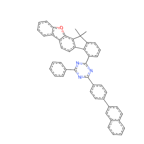 CC1(C)c2cccc(-c3nc(-c4ccccc4)nc(-c4ccc(-c5ccc6ccccc6c5)cc4)n3)c2-c2ccc3c(oc4ccccc43)c21